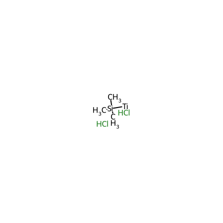 C[Si](C)(C)[Ti].Cl.Cl